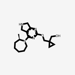 C[C@@H]1CCCCCN1c1nc(OCC2(CO)CC2)nc2c1CNC2